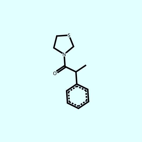 CC(C(=O)N1CCSC1)c1ccccc1